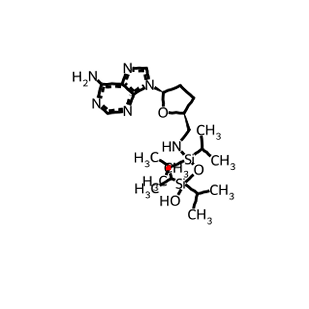 CC(C)[Si](O)(O[Si](NC[C@@H]1CC[C@H](n2cnc3c(N)ncnc32)O1)(C(C)C)C(C)C)C(C)C